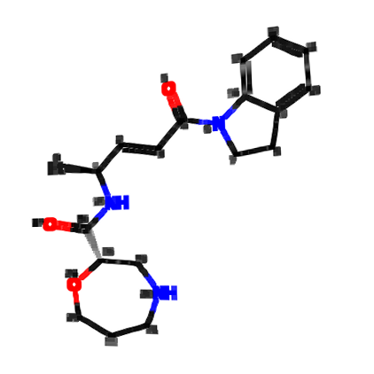 CC[C@@H](/C=C/C(=O)N1CCc2ccccc21)NC(=O)[C@@H]1CNCCCO1